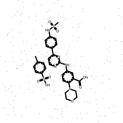 CS(=O)(=O)Nc1ccc(-c2ccnc(Nc3ccc(N4CCOCC4)c(C(=O)O)c3)n2)cc1.Cc1ccc(S(=O)(=O)O)cc1